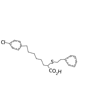 O=C(O)C(CCCCCCc1ccc(Cl)cc1)SCCc1ccccc1